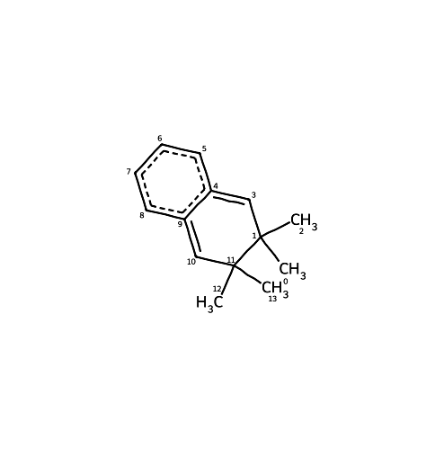 CC1(C)C=c2ccccc2=CC1(C)C